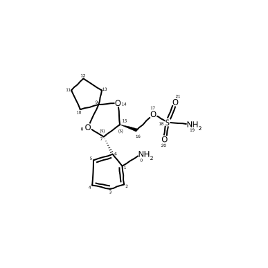 Nc1ccccc1[C@@H]1OC2(CCCC2)O[C@H]1COS(N)(=O)=O